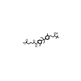 CCC(CC)(c1ccc(CCC(O)C(C)(C)C)c(C)c1)c1ccc(NC(=O)CCCC(=O)OC)c(C)c1